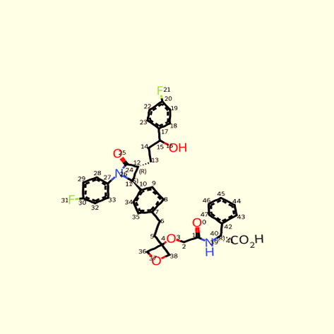 O=C(COC1(CCc2ccc([C@@H]3[C@@H](CCC(O)c4ccc(F)cc4)C(=O)N3c3ccc(F)cc3)cc2)COC1)N[C@@H](C(=O)O)c1ccccc1